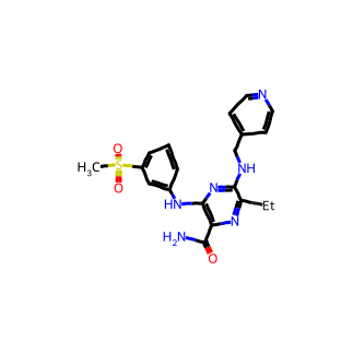 CCc1nc(C(N)=O)c(Nc2cccc(S(C)(=O)=O)c2)nc1NCc1ccncc1